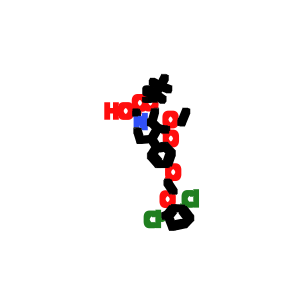 CCOC(=O)C1C(c2ccc(OCCOc3c(Cl)cccc3Cl)cc2)CCN(C(=O)O)C1CO[Si](C)(C)C(C)(C)C